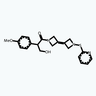 COc1ccc(C(CO)C(=O)N2CC(=C3CN(Sc4ccccn4)C3)C2)cc1